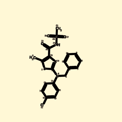 Cc1sc(N(Cc2ccccc2)c2ccc(Cl)cc2)nc1C(=O)NS(C)(=O)=O